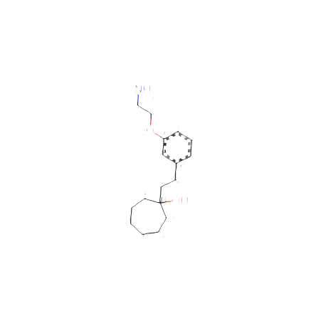 NCCOc1cccc(CCC2(O)CCCCCC2)c1